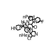 CCCCCCC1(N2CCC(C(=O)N3CCNCC3)CC2)C(Cl)CN=CC1NC(=O)C(C(N)N)C1N2C=C(F)CCC2(CCCCC)C12CCCC2